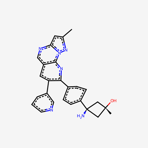 Cc1cc2ncc3cc(-c4cccnc4)c(-c4ccc([C@]5(N)C[C@](C)(O)C5)cc4)nc3n2n1